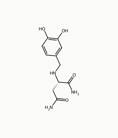 NC(=O)C[C@H](NCc1ccc(O)c(O)c1)C(N)=O